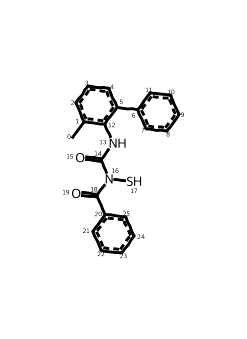 Cc1cccc(-c2ccccc2)c1NC(=O)N(S)C(=O)c1ccccc1